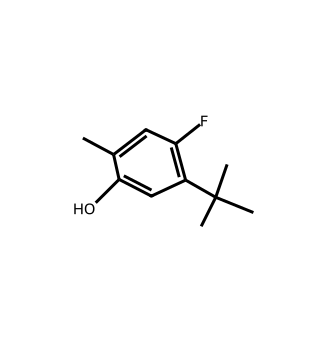 Cc1cc(F)c(C(C)(C)C)cc1O